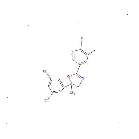 Cc1cc(C2=NCC(c3cc(Cl)cc(Cl)c3)(C(F)(F)F)O2)ccc1F